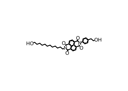 O=C1c2ccc3c4c(ccc(c24)C(=O)N1CCCCCCCCCCCCO)C(=O)N(c1ccc(CCO)cc1)C3=O